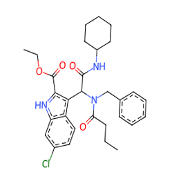 CCCC(=O)N(Cc1ccccc1)C(C(=O)NC1CCCCC1)c1c(C(=O)OCC)[nH]c2cc(Cl)ccc12